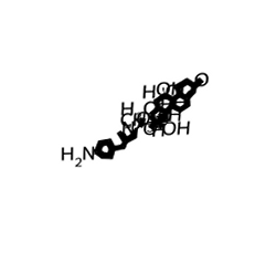 Cn1cc(Cc2ccc(N)cc2)cc1[C@@H]1O[C@@H]2C[C@H]3[C@@H]4CCC5=CC(=O)C=C[C@]5(C)[C@@]4(F)[C@@H](O)C[C@]3(C)[C@]2(C(=O)CO)O1